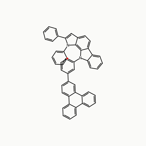 c1ccc(-c2cc3ccc4c5ccccc5n(-c5cccc(-c6ccc7c8ccccc8c8ccccc8c7c6)c5)c4c3n2-c2ccccc2)cc1